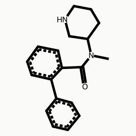 CN(C(=O)c1ccccc1-c1ccccc1)C1CCCNC1